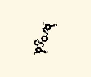 N#Cc1cc(F)cc([C@@H]2CCON2C(=O)[C@H]2CC[C@H](Cn3ccc4c(F)cc(C#N)cc43)CC2)c1